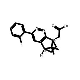 CC1(C)[C@@H]2CC[C@@]1(CC(=O)O)c1nnc(-c3ccccc3F)cc12